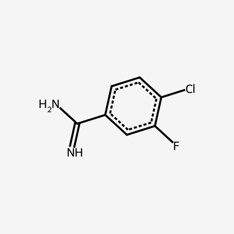 N=C(N)c1ccc(Cl)c(F)c1